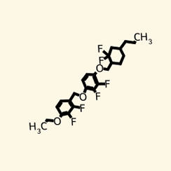 CCCC1CCC(COc2ccc(OCc3ccc(OCC)c(F)c3F)c(F)c2F)C(F)(F)C1